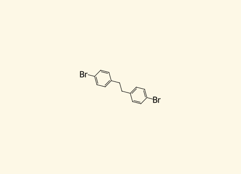 Brc1ccc(CCc2ccc(Br)cc2)cc1